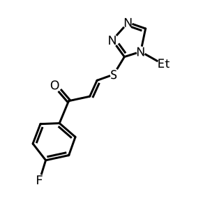 CCn1cnnc1S/C=C/C(=O)c1ccc(F)cc1